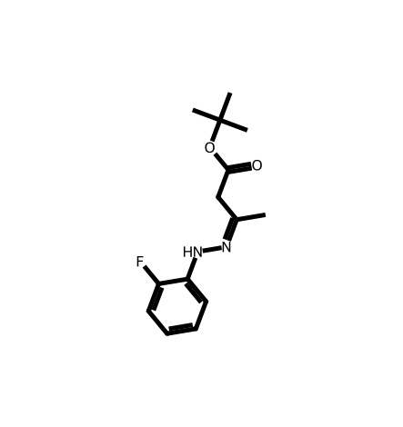 CC(CC(=O)OC(C)(C)C)=NNc1ccccc1F